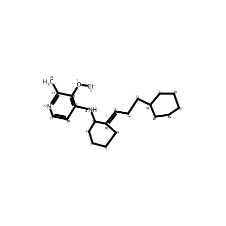 CCOc1c(NC2CCCC/C2=C\CCC2CCCCC2)ccnc1C